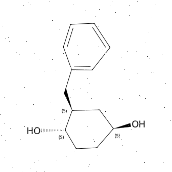 O[C@H]1CC[C@H](O)[C@@H](Cc2ccccc2)C1